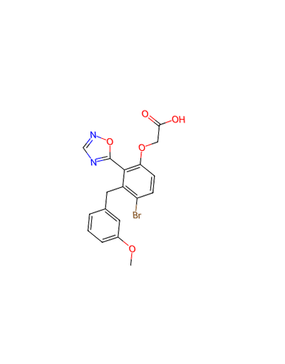 COc1cccc(Cc2c(Br)ccc(OCC(=O)O)c2-c2ncno2)c1